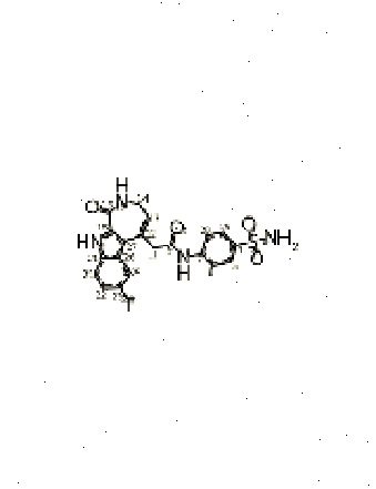 NS(=O)(=O)c1ccc(NC(=O)CC2=CCNC(=O)c3[nH]c4ccc(F)cc4c32)cc1